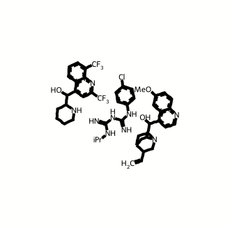 C=CC1CN2CCC1CC2C(O)c1ccnc2ccc(OC)cc12.CC(C)NC(=N)NC(=N)Nc1ccc(Cl)cc1.OC(c1cc(C(F)(F)F)nc2c(C(F)(F)F)cccc12)C1CCCCN1